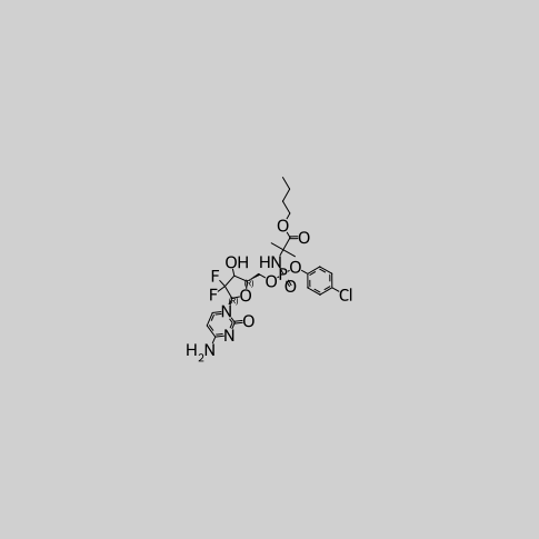 CCCCOC(=O)C(C)(C)NP(=O)(OC[C@H]1O[C@@H](n2ccc(N)nc2=O)C(F)(F)C1O)Oc1ccc(Cl)cc1